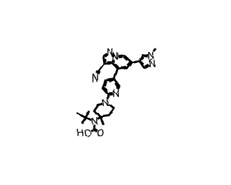 Cn1cc(-c2cc(-c3ccc(N4CCC(C)(N(C(=O)O)C(C)(C)C)CC4)nc3)c3c(C#N)cnn3c2)cn1